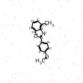 COc1ccc(-c2nc3c(C)cccc3o2)cc1